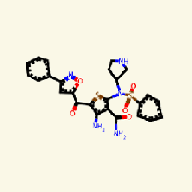 NC(=O)c1c(N(C2CCNC2)S(=O)(=O)c2ccccc2)sc(C(=O)c2cc(-c3ccccc3)no2)c1N